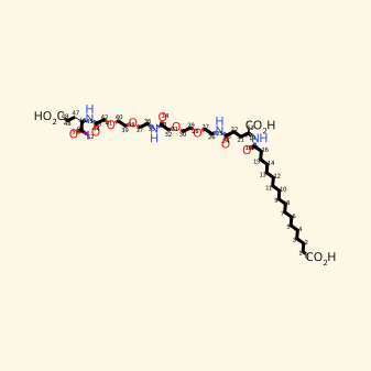 O=C(O)CCCCCCCCCCCCCCCCC(=O)N[C@@H](CCC(=O)NCCOCCOCC(=O)NCCOCCOCC(=O)N[C@@H](CCC(=O)O)C(=O)I)C(=O)O